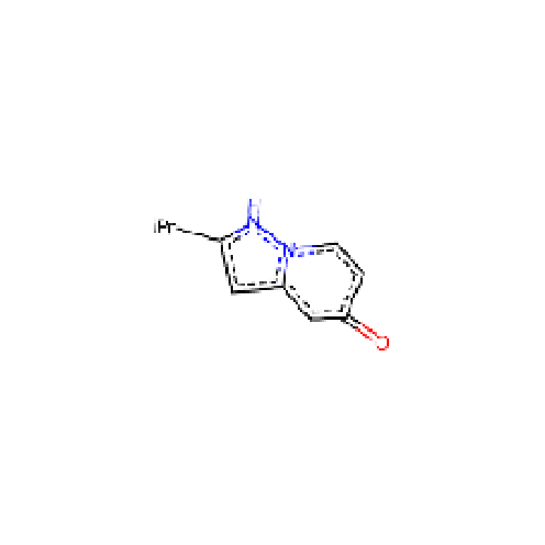 CC(C)c1cc2cc(=O)ccn2[nH]1